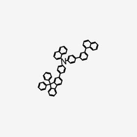 c1ccc(C2(c3ccccc3)c3ccccc3-c3ccc(-c4ccc(N(c5ccc(-c6cccc(-c7cccc8ccccc78)c6)cc5)c5cccc6ccccc56)cc4)cc32)cc1